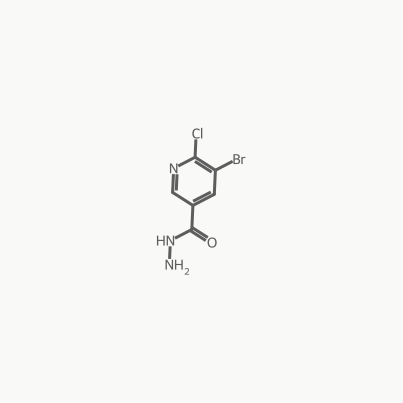 NNC(=O)c1cnc(Cl)c(Br)c1